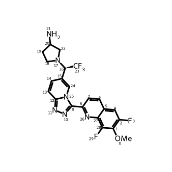 COc1c(F)cc2ccc(-c3nnc4ccc([C@@H](N5CCC(N)C5)C(F)(F)F)cn34)nc2c1F